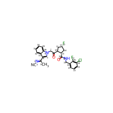 CC(=NC#N)c1cn(CC(=O)C2C[C@H](F)C[C@H]2C(=O)NCc2cccc(Cl)c2F)c2ccccc12